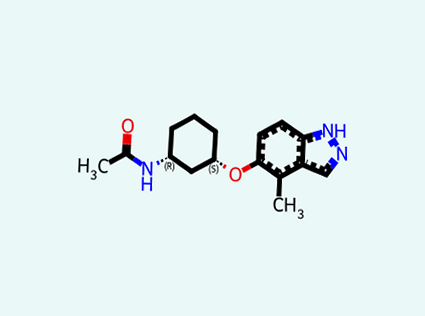 CC(=O)N[C@@H]1CCC[C@H](Oc2ccc3[nH]ncc3c2C)C1